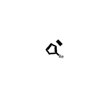 C#C.[Re][C]1=CC=CC1